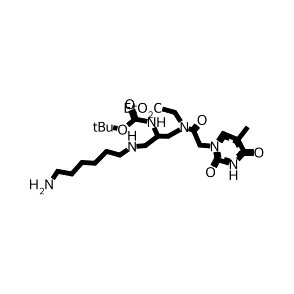 CCOC(=O)CN(CC(CNCCCCCCN)NC(=O)OC(C)(C)C)C(=O)Cn1cc(C)c(=O)[nH]c1=O